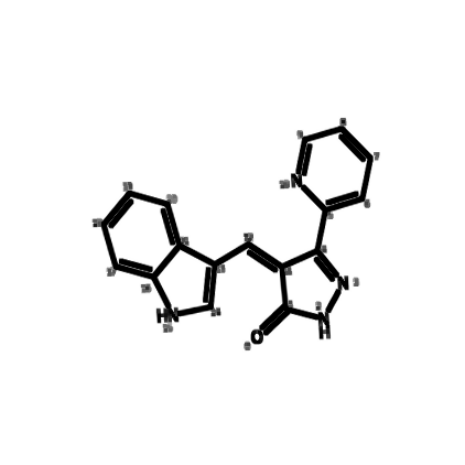 O=C1NN=C(c2ccccn2)C1=Cc1c[nH]c2ccccc12